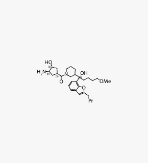 COCCCC[C@@](O)(c1cccc2cc(CC(C)C)oc12)C1CCCN(C(=O)[C@H]2C[C@@H](N)[C@@H](O)C2)C1